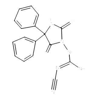 N#CN=C(N)NN1C(=O)NC(c2ccccc2)(c2ccccc2)C1=O